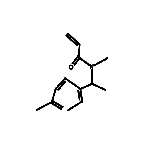 C=CC(=O)N(C)C(C)C(/C=C\C(=C)C)=C/C